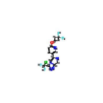 FC1(F)CC(Oc2ccc(-c3cn4c(C(F)(F)Cl)nnc4cn3)cn2)C1